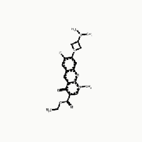 CCOC(=O)c1cn(C)c2nc3cc(N4CC(N(C)C)C4)c(F)cc3cc2c1=O